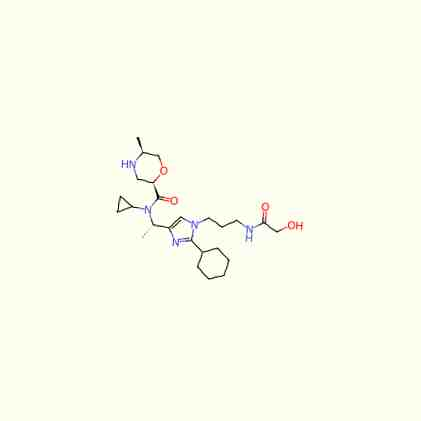 C[C@H]1CO[C@@H](C(=O)N(C2CC2)[C@@H](C)c2cn(CCCNC(=O)CO)c(C3CCCCC3)n2)CN1